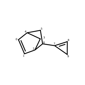 C1=CC2CC1CC2C1=CC1